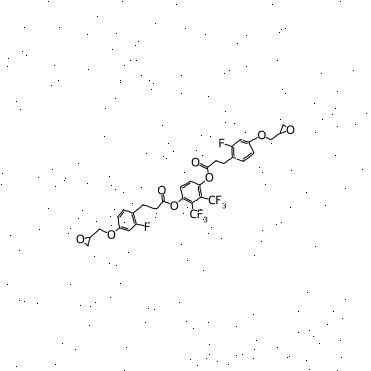 O=C(CCc1ccc(OCC2CO2)cc1F)Oc1ccc(OC(=O)CCc2ccc(OCC3CO3)cc2F)c(C(F)(F)F)c1C(F)(F)F